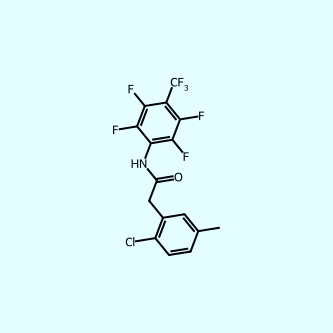 Cc1ccc(Cl)c(CC(=O)Nc2c(F)c(F)c(C(F)(F)F)c(F)c2F)c1